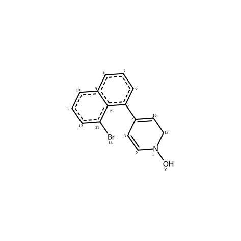 ON1C=CC(c2cccc3cccc(Br)c23)=CC1